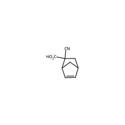 N#CC1(C(=O)O)CC2C=CC1C2